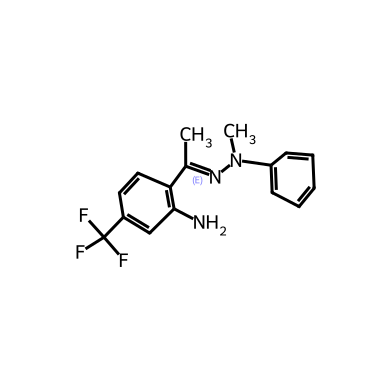 C/C(=N\N(C)c1ccccc1)c1ccc(C(F)(F)F)cc1N